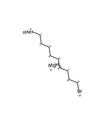 CCCCCCCCCCCCCCCBr.[MgH2]